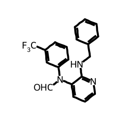 O=CN(c1cccc(C(F)(F)F)c1)c1cccnc1NCc1ccccc1